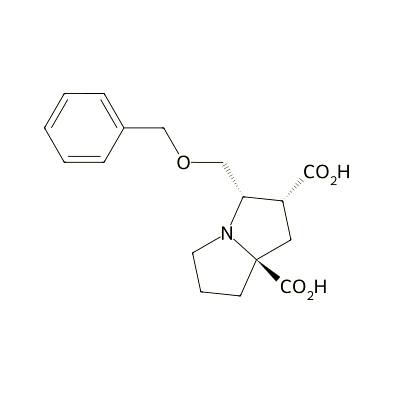 O=C(O)[C@@H]1C[C@]2(C(=O)O)CCCN2[C@@H]1COCc1ccccc1